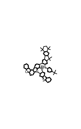 CC(C)(C)c1ccc(Nc2cc3c(cc2-c2ccc4c5c6c(ccc5n5c4c2Bc2cc4c(cc2-5)sc2ccccc24)oc2ccccc26)-c2cc4c(cc2C3(C)C)C(C)(C)CCC4(C)C)cc1